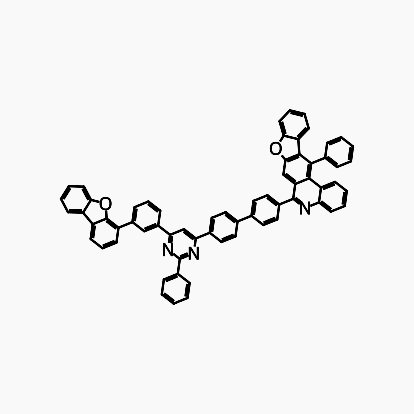 c1ccc(-c2nc(-c3ccc(-c4ccc(-c5nc6ccccc6c6c(-c7ccccc7)c7c(cc56)oc5ccccc57)cc4)cc3)cc(-c3cccc(-c4cccc5c4oc4ccccc45)c3)n2)cc1